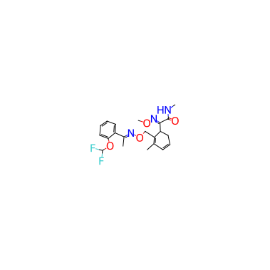 CNC(=O)/C(=N/OC)C1CC=CC(C)=C1CO/N=C(\C)c1ccccc1OC(F)F